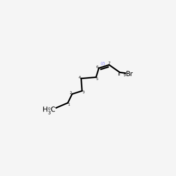 CCCCCC/C=C\CBr